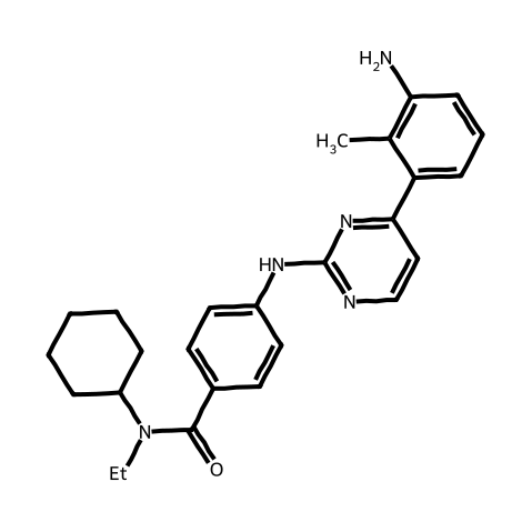 CCN(C(=O)c1ccc(Nc2nccc(-c3cccc(N)c3C)n2)cc1)C1CCCCC1